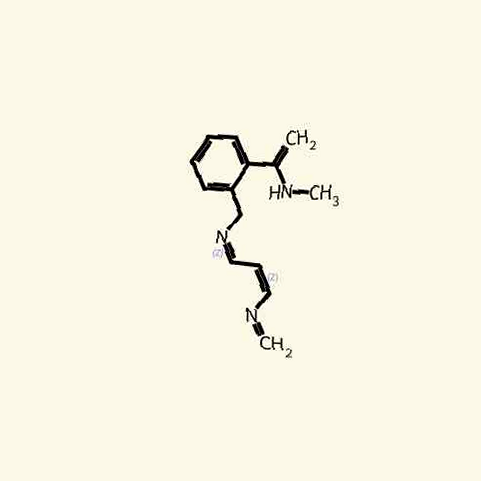 C=N/C=C\C=N/Cc1ccccc1C(=C)NC